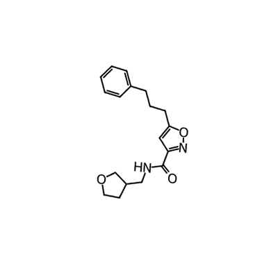 O=C(NCC1CCOC1)c1cc(CCCc2ccccc2)on1